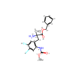 CC(C)(C)OC(=O)Nc1cc(F)c(F)cc1CC(N)(C=O)C(=O)OCc1ccccc1